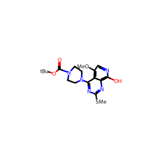 COc1cnc(O)c2nc(SC)nc(N3CCN(C(=O)OC(C)(C)C)CC3)c12